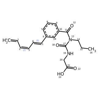 C=C/C=C\C=C\c1cccc(C(=O)N(CCC)C(=O)NCC(=O)O)c1